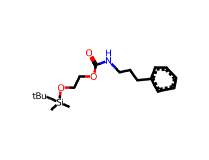 CC(C)(C)[Si](C)(C)OCCOC(=O)NCCCc1ccccc1